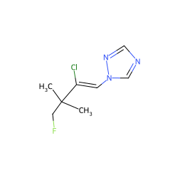 CC(C)(CF)C(Cl)=Cn1cncn1